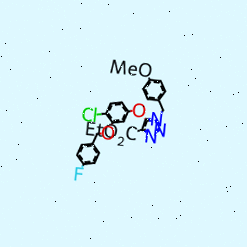 CCOC(=O)c1nnn(Cc2ccc(OC)cc2)c1Oc1ccc(Cl)c(OCc2ccc(F)cc2)c1